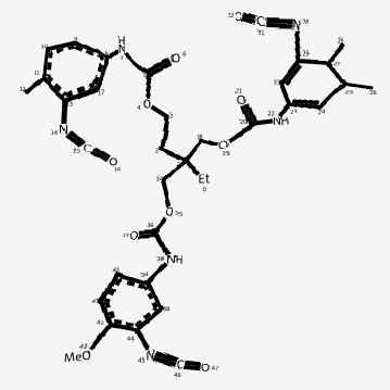 CCC(CCOC(=O)Nc1ccc(C)c(N=C=O)c1)(COC(=O)NC1=CC(C)C(C)C(N=C=O)=C1)COC(=O)Nc1ccc(OC)c(N=C=O)c1